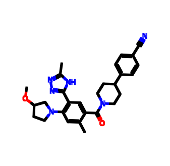 COC1CCN(c2cc(C)c(C(=O)N3CCC(c4ccc(C#N)cc4)CC3)cc2-c2nnc(C)[nH]2)C1